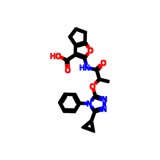 CC(Oc1nnc(C2CC2)n1-c1ccccc1)C(=O)Nc1oc2c(c1C(=O)O)CCC2